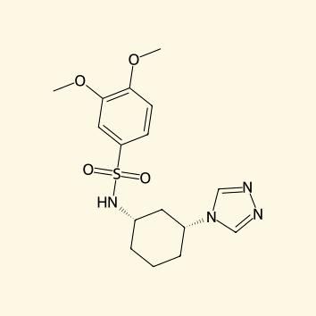 COc1ccc(S(=O)(=O)N[C@H]2CCC[C@@H](n3cnnc3)C2)cc1OC